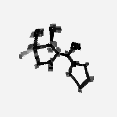 C[C@@]1(O)CN[C@H](C(O)N2CCCC2)[C@@H]1O